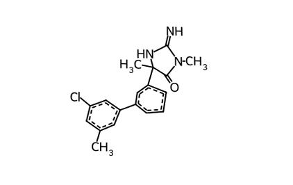 Cc1cc(Cl)cc(-c2cccc(C3(C)NC(=N)N(C)C3=O)c2)c1